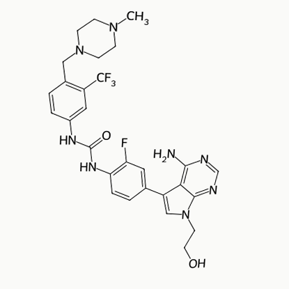 CN1CCN(Cc2ccc(NC(=O)Nc3ccc(-c4cn(CCO)c5ncnc(N)c45)cc3F)cc2C(F)(F)F)CC1